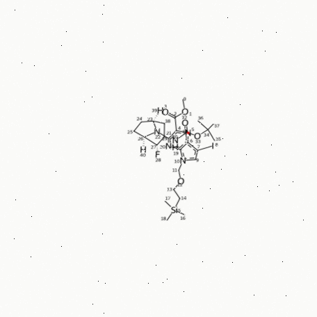 COC(=O)c1nc2c(I)cn(COCC[Si](C)(C)C)c2nc1N1[C@H]2CC[C@@H]1[C@@H](F)[C@@H](NC(=O)OC(C)(C)C)C2